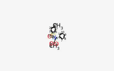 COC(=O)[C@@H]1[C@@H](c2ccccc2)N1[S+]([O-])c1ccc(C)cc1